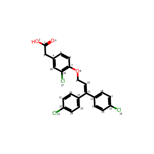 O=C(O)Cc1ccc(OCC=C(c2ccc(Cl)cc2)c2ccc(Cl)cc2)c(Cl)c1